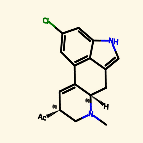 CC(=O)[C@@H]1C=C2c3cc(Cl)cc4[nH]cc(c34)C[C@H]2N(C)C1